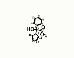 COC(=O)C(O)(c1ccccc1)C1C=CC=C1